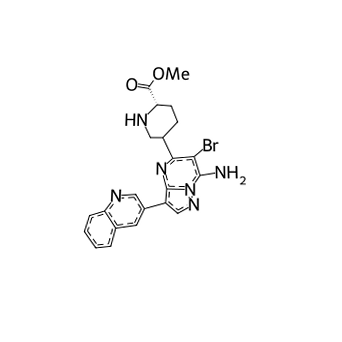 COC(=O)[C@@H]1CCC(c2nc3c(-c4cnc5ccccc5c4)cnn3c(N)c2Br)CN1